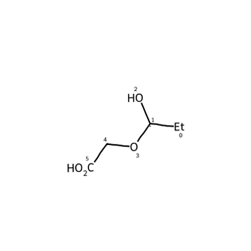 CC[C](O)OCC(=O)O